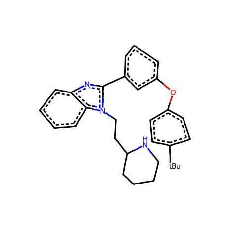 CC(C)(C)c1ccc(Oc2cccc(-c3nc4ccccc4n3CCC3CCCCN3)c2)cc1